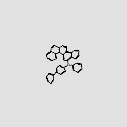 c1ccc(-c2ccc(N(c3ccccc3)c3cc4c(ccc5ccc6ccccc6c54)c4ccccc34)cc2)cc1